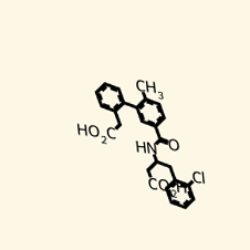 Cc1ccc(C(=O)NC(CC(=O)O)Cc2ccccc2Cl)cc1-c1ccccc1CC(=O)O